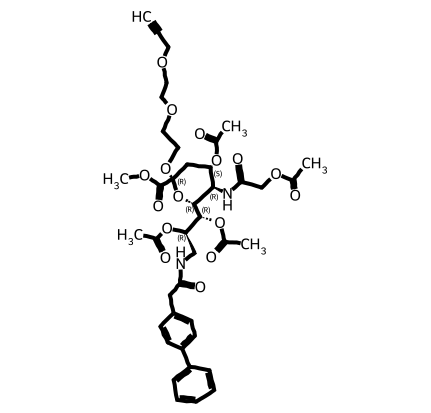 C#CCOCCOCCO[C@]1(C(=O)OC)C[C@H](OC(C)=O)[C@@H](NC(=O)COC(C)=O)[C@H]([C@H](OC(C)=O)[C@@H](CNC(=O)Cc2ccc(-c3ccccc3)cc2)OC(C)=O)O1